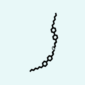 CCCCCCCC1CCC(C2CCC(/C=C/COC/C=C/C3CCC(C4CCC(CCCCCCC)CC4)CC3)CC2)CC1